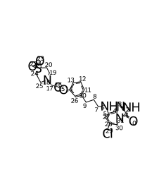 O=c1[nH]nc2c(NCCCc3cccc(OCCN4CCS(=O)(=O)CC4)c3)cc(Cl)cn12